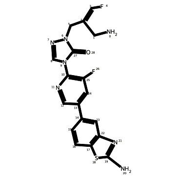 NC/C(=C\F)Cn1ncn(-c2ncc(-c3ccc4sc(N)nc4c3)cc2F)c1=O